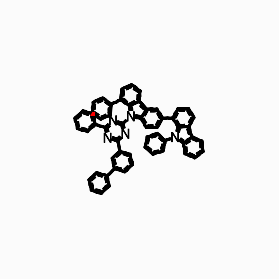 c1ccc(-c2cccc(-c3nc(-c4ccccc4)nc(-n4c5ccc(-c6cccc7c8ccccc8n(-c8ccccc8)c67)cc5c5cccc(-c6ccccc6)c54)n3)c2)cc1